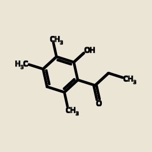 CCC(=O)c1c(C)cc(C)c(C)c1O